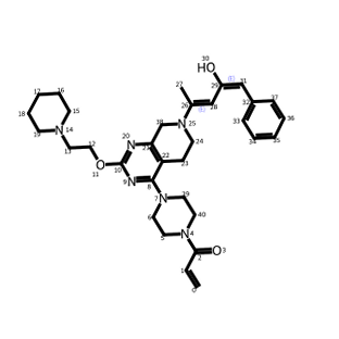 C=CC(=O)N1CCN(c2nc(OCCN3CCCCC3)nc3c2CCN(/C(C)=C/C(O)=C\c2ccccc2)C3)CC1